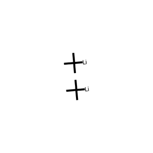 [Li][C](C)(C)C.[Li][C](C)(C)C